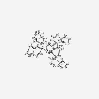 c1ccc2cc(-c3nc4c(-c5cccc6ccccc56)ccc(-c5cccc6ccccc56)c4nc3-c3ccc4ccccc4c3)ccc2c1